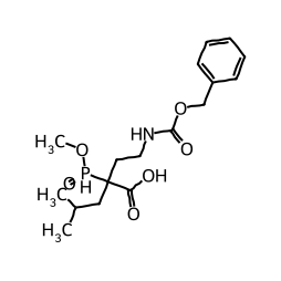 CO[PH](=O)C(CCNC(=O)OCc1ccccc1)(CC(C)C)C(=O)O